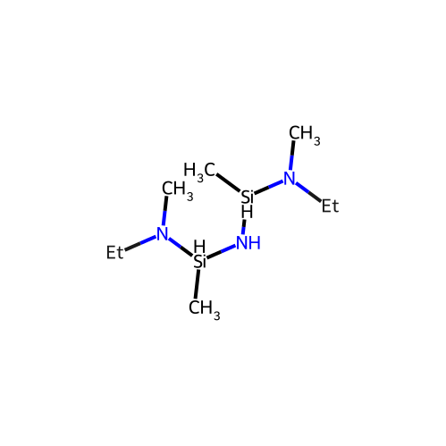 CCN(C)[SiH](C)N[SiH](C)N(C)CC